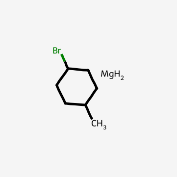 CC1CCC(Br)CC1.[MgH2]